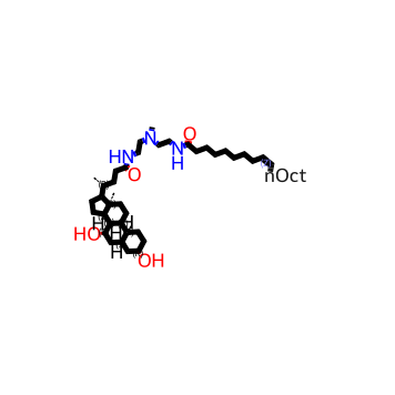 CCCCCCCC/C=C\CCCCCCCC(=O)NCCN(C)CCNC(=O)CC[C@@H](C)C1CC[C@H]2[C@@H]3[C@H](O)C[C@@H]4C[C@H](O)CC[C@]4(C)[C@H]3CC[C@]12C